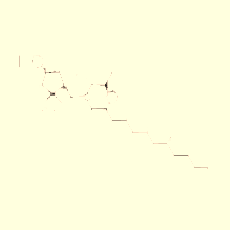 CCCCCCCCCCCC[C@H](CC(C)=O)C[C@]1(C)CC(O)CC1(C)C